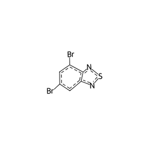 Brc1cc(Br)c2nsnc2c1